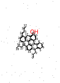 CCCCc1ccccc1Cc1ccc(O)c(Cc2ccccc2CCCC)c1Cc1ccccc1CCCC